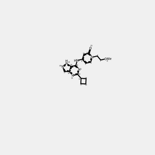 COCCn1ccc(Nc2nc(C3CCC3)nc3cn[nH]c23)cc1=O